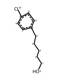 OCCCCCc1ccc(Cl)cc1